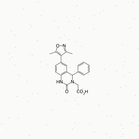 Cc1noc(C)c1-c1ccc2c(c1)C(c1ccccc1)N(CC(=O)O)C(=O)N2